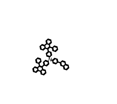 c1ccc(-c2c(-c3ccc(N(c4ccc(-c5ccc6ccccc6c5)cc4)c4ccc(-c5c(-c6ccccc6)c6ccccc6c6ccccc56)cc4)cc3)c3ccccc3c3ccccc23)cc1